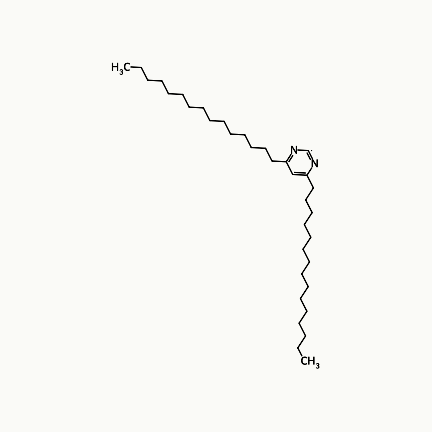 CCCCCCCCCCCCCCCc1cc(CCCCCCCCCCCCCCC)n[c]n1